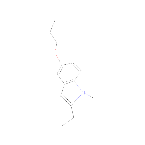 CCCOc1ccc2c(c1)cc(CC)n2C